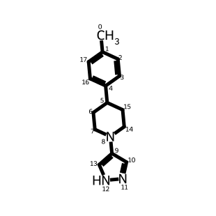 Cc1ccc(C2CCN(c3cn[nH]c3)CC2)cc1